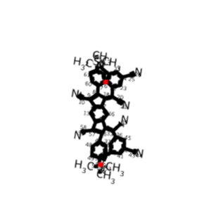 C[Si](C)(C)c1ccc(C2=C(C#N)c3cc4c(cc3/C2=C(\C#N)c2cc(C#N)cc(C#N)c2)/C(=C(\C#N)c2cc(C#N)cc(C#N)c2)C(c2ccc([Si](C)(C)C)cc2)=C4C#N)cc1